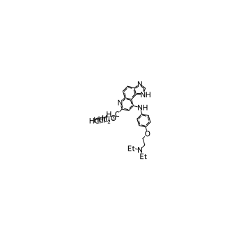 CCN(CC)CCOc1ccc(Nc2cc(C)nc3ccc4nc[nH]c4c23)cc1.Cl.Cl.Cl.O